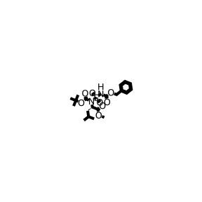 COC(=O)[C@H](CC(C)C)N(C(=O)OC(C)(C)C)S(=O)(=O)NC(=O)OCc1ccccc1